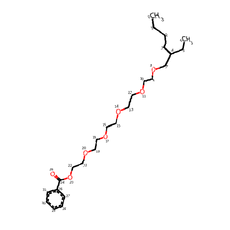 CCCCC(CC)COCCOCCOCCOCCOCCOC(=O)c1ccccc1